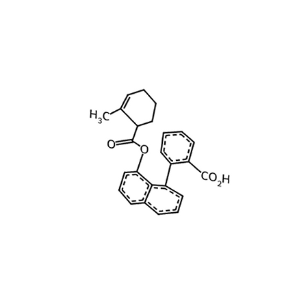 CC1=CCCCC1C(=O)Oc1cccc2cccc(-c3ccccc3C(=O)O)c12